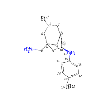 CCC1CC2CC(CN)(C1)C[C@@H]2Nc1ccc(C(C)(C)C)cc1